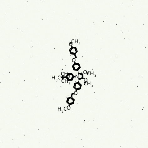 COc1ccc(COc2ccc([C@@H]3[C@@H](OC)[C@H](OC)[C@@H](c4ccc(OCc5ccc(OC)cc5)cc4)N3c3ccc(C(C)(C)C)cc3)cc2)cc1